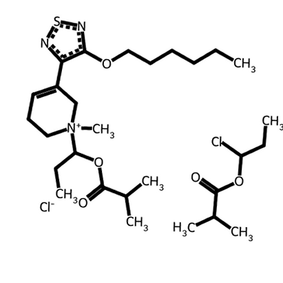 CCC(Cl)OC(=O)C(C)C.CCCCCCOc1nsnc1C1=CCC[N+](C)(C(CC)OC(=O)C(C)C)C1.[Cl-]